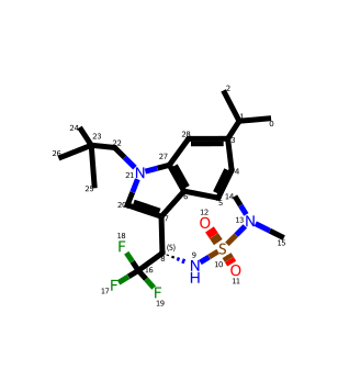 CC(C)c1ccc2c([C@H](NS(=O)(=O)N(C)C)C(F)(F)F)cn(CC(C)(C)C)c2c1